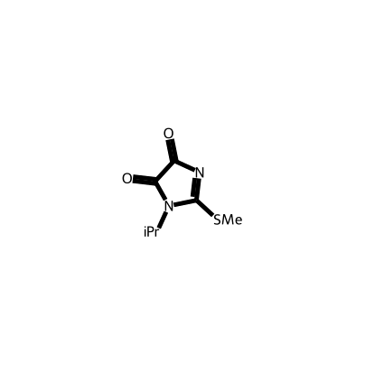 CSC1=NC(=O)C(=O)N1C(C)C